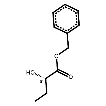 CC[C@H](O)C(=O)OCc1ccccc1